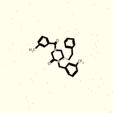 Cc1cccc(C(=O)N2CC(=O)N(Cc3cccc(C(F)(F)F)c3)[C@@H](CCc3ccccc3)C2)c1